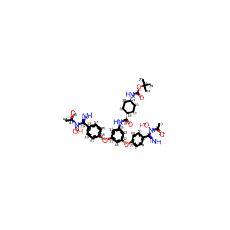 CC(=O)N(O)C(=N)c1ccc(Oc2cc(NC(=O)[C@H]3CC[C@H](NC(=O)OC(C)(C)C)CC3)cc(Oc3ccc(C(=N)N(O)C(C)=O)cc3)c2)cc1